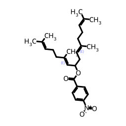 CC(C)=CCC/C(C)=C/CC(/C=C(\C)CCC=C(C)C)OC(=O)c1ccc([N+](=O)[O-])cc1